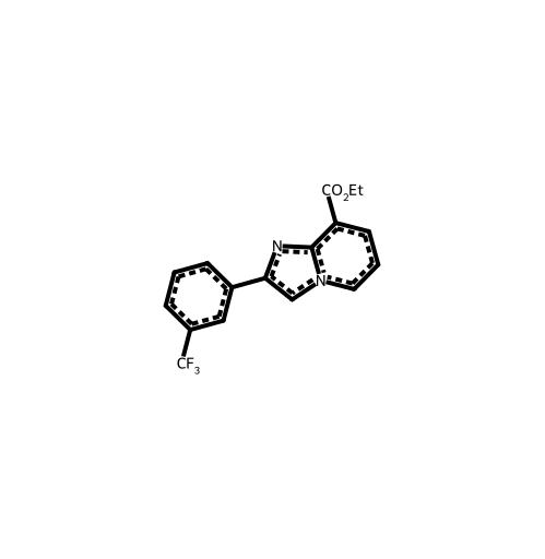 CCOC(=O)c1cccn2cc(-c3cccc(C(F)(F)F)c3)nc12